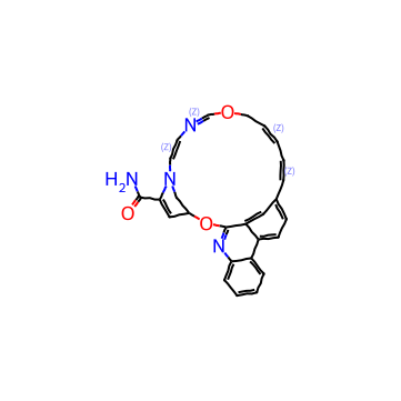 NC(=O)C1=CC2CN1/C=C\N=C/OC/C=C\C=C/c1ccc3c(c1)c(nc1ccccc13)O2